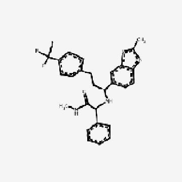 CNC(=O)C(N[C@@H](CCc1ccc(C(F)(F)F)cc1)c1ccc2nc(C)sc2c1)c1ccccc1